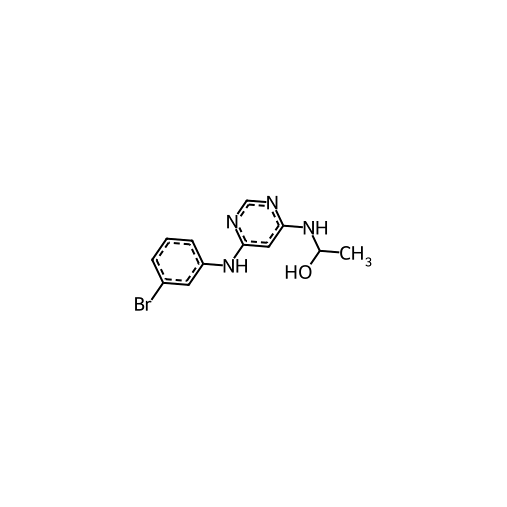 CC(O)Nc1cc(Nc2cccc(Br)c2)ncn1